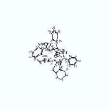 O=C(O)C1CC2CCCCC2N1Cc1ccccc1.O=C(O[C@](C(=O)O)(C(=O)c1ccccc1)[C@@H](O)C(=O)O)c1ccccc1